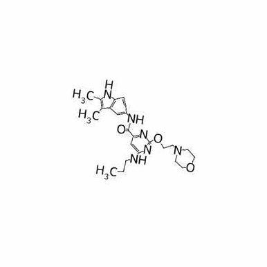 CCCNc1cc(C(=O)Nc2ccc3[nH]c(C)c(C)c3c2)nc(OCCN2CCOCC2)n1